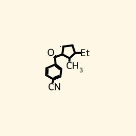 [CH2]CC1C[CH]C(C(=O)c2ccc(C#N)cc2)C1C